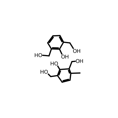 Cc1ccc(CO)c(O)c1CO.OCc1cccc(CO)c1O